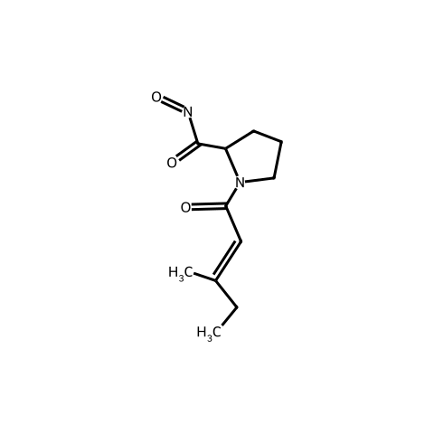 CC/C(C)=C/C(=O)N1CCCC1C(=O)N=O